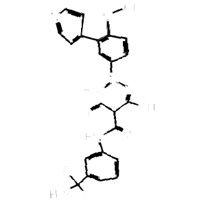 COc1ccc(N(C)/N=C(/C)C(C=O)C(=O)Nc2cccc(C(C)(F)F)c2)cc1-c1ccncc1